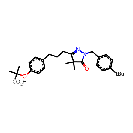 CC(C)(Oc1ccc(CCCC2=NN(Cc3ccc(C(C)(C)C)cc3)C(=O)C2(C)C)cc1)C(=O)O